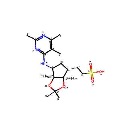 Cc1nc(C)c(C)c(N[C@@H]2C[C@H](CCS(=O)(=O)O)[C@H]3OC(C)(C)O[C@H]32)n1